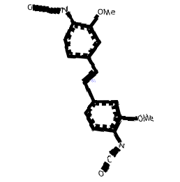 COc1cc(/C=C/c2ccc(N=C=O)c(OC)c2)ccc1N=C=O